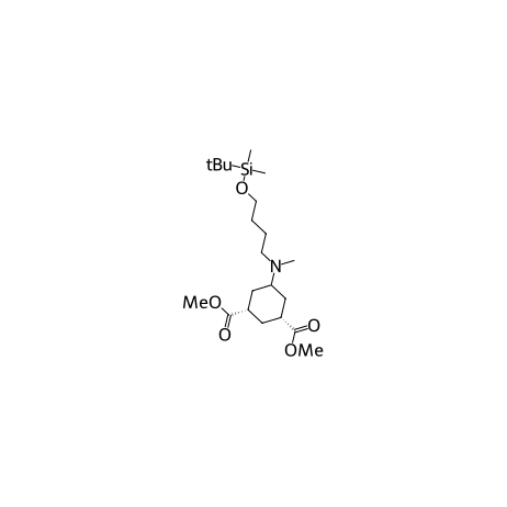 COC(=O)[C@@H]1CC(N(C)CCCCO[Si](C)(C)C(C)(C)C)C[C@H](C(=O)OC)C1